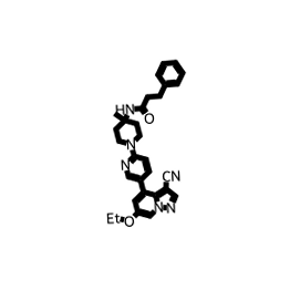 CCOc1cc(-c2ccc(N3CCC(C)(NC(=O)CCc4ccccc4)CC3)nc2)c2c(C#N)cnn2c1